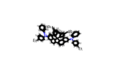 CCc1ccc(N(c2ccccc2)c2ccc3c4c(ccc3c2)-c2ccc3cc(N(c5ccccc5)c5ccc(CC)cc5)ccc3c2C42c3ccc(C(C)(C)C)cc3-c3cc(C(C)(C)C)ccc32)cc1